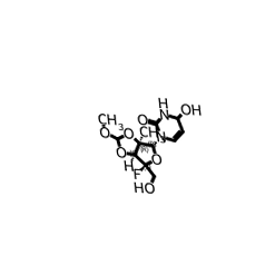 COC1O[C@H]2[C@@](C)(O1)[C@H](N1C=CC(O)NC1=O)O[C@]2(F)CO